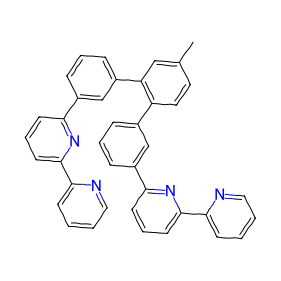 Cc1ccc(-c2cccc(-c3cccc(-c4ccccn4)n3)c2)c(-c2cccc(-c3cccc(-c4ccccn4)n3)c2)c1